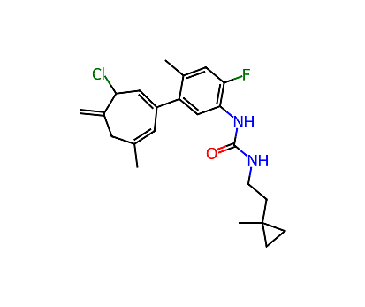 C=C1CC(C)=CC(c2cc(NC(=O)NCCC3(C)CC3)c(F)cc2C)=CC1Cl